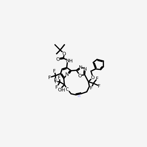 CC(C)(C)OC(=O)Nc1cc(C(F)(F)F)c2nc1-c1nnc(o1)C(OCc1ccccc1)(C(F)(F)F)CC/C=C\CCC2(O)C(F)(F)F